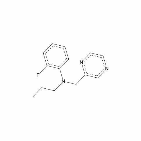 CCCN(Cc1cnccn1)c1ccccc1F